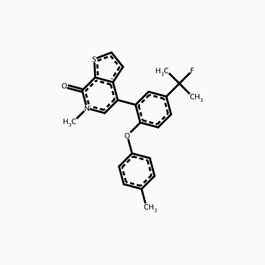 Cc1ccc(Oc2ccc(C(C)(C)F)cc2-c2cn(C)c(=O)c3sccc23)cc1